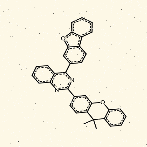 CC1(C)c2ccccc2Oc2cc(-c3nc(-c4ccc5c(c4)oc4ccccc45)c4ccccc4n3)ccc21